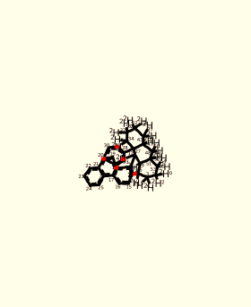 [2H]C1([2H])C([2H])([2H])C([2H])([2H])C2([2H])C([2H])(c3cccc4c3ccc3ccccc34)C3(c4ccccc4)C([2H])([2H])C([2H])([2H])C([2H])([2H])C([2H])([2H])C3([2H])C([2H])([2H])C2([2H])C1([2H])[2H]